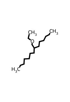 CCCCCCCC(CCCCCC)COCC